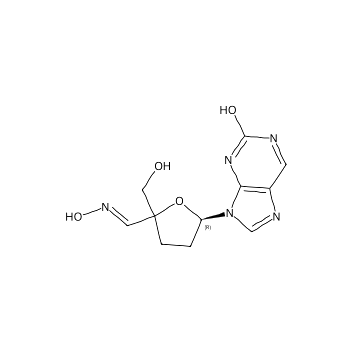 OCC1(C=NO)CC[C@H](n2cnc3cnc(O)nc32)O1